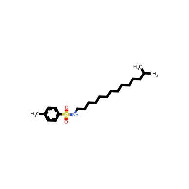 Cc1ccc(S(=O)(=O)NCCCCCCCCCCCCC(C)C)cc1